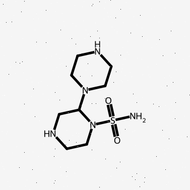 NS(=O)(=O)N1CCNCC1N1CCNCC1